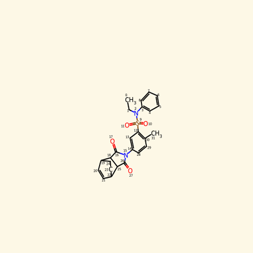 CCN(c1ccccc1)S(=O)(=O)c1cc(N2C(=O)C3C4C=CC(CC4)C3C2=O)ccc1C